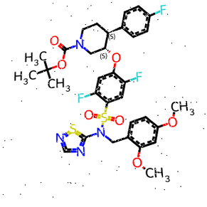 COc1ccc(CN(c2ncns2)S(=O)(=O)c2cc(F)c(O[C@@H]3CN(C(=O)OC(C)(C)C)CC[C@H]3c3ccc(F)cc3)cc2F)c(OC)c1